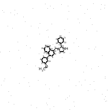 COc1cccc(-c2ccc(CN3C=CNC3c3ccccc3)c3cnccc23)c1